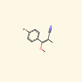 CO/C(=C(\C)C#N)c1ccc(Br)cc1